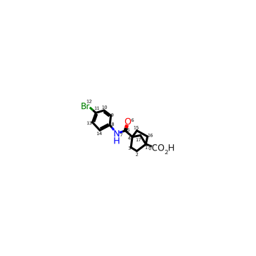 O=C(O)C12CCC(C(=O)Nc3ccc(Br)cc3)(CC1)C2